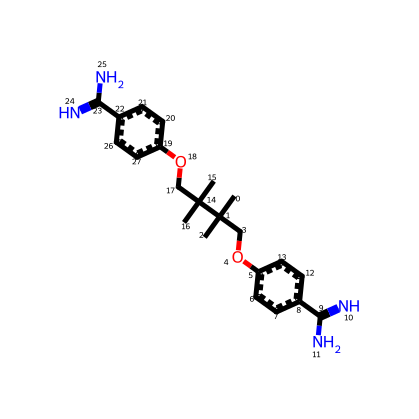 CC(C)(COc1ccc(C(=N)N)cc1)C(C)(C)COc1ccc(C(=N)N)cc1